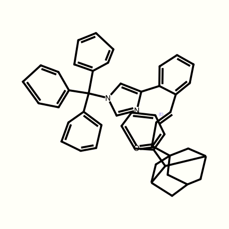 O=C(/C=C/c1ccccc1-c1cn(C(c2ccccc2)(c2ccccc2)c2ccccc2)cn1)C12CC3CC(C1)C(c1ccccc1)C(C3)C2